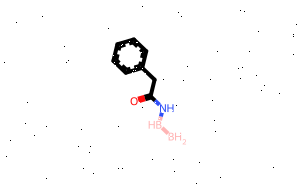 BBNC(=O)Cc1ccccc1